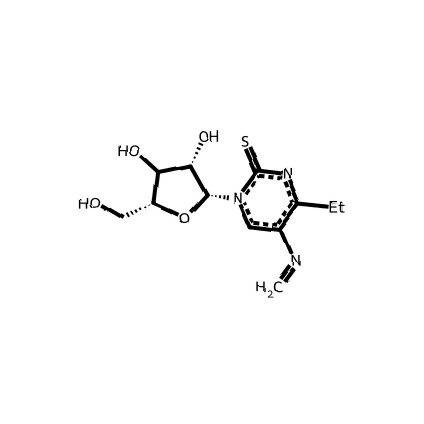 C=Nc1cn([C@@H]2O[C@H](CO)C(O)[C@@H]2O)c(=S)nc1CC